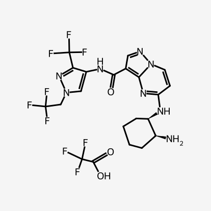 N[C@H]1CCCC[C@H]1Nc1ccn2ncc(C(=O)Nc3cn(CC(F)(F)F)nc3C(F)(F)F)c2n1.O=C(O)C(F)(F)F